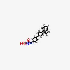 O=C(Cc1ccc(-c2ccc(C34CC5CC(CC(C5)C3)C4)cc2)cc1)NO